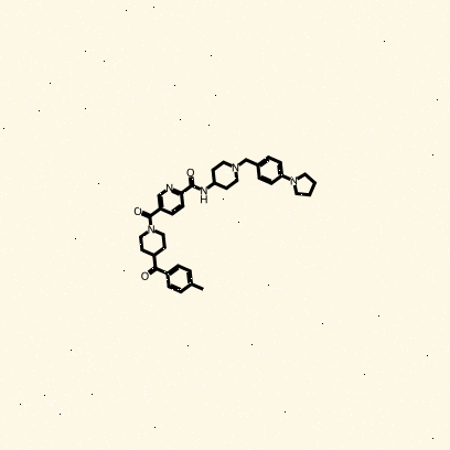 Cc1ccc(C(=O)C2CCN(C(=O)c3ccc(C(=O)NC4CCN(Cc5ccc(N6CCCC6)cc5)CC4)nc3)CC2)cc1